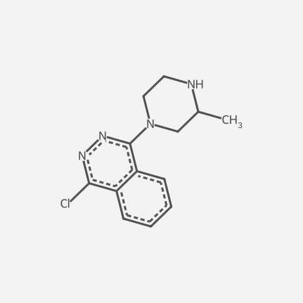 CC1CN(c2nnc(Cl)c3ccccc23)CCN1